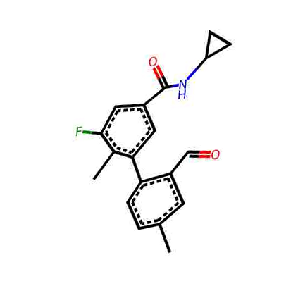 Cc1ccc(-c2cc(C(=O)NC3CC3)cc(F)c2C)c(C=O)c1